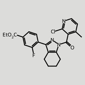 CCOC(=O)c1ccc(-c2nn(C(=O)c3c(C)ccnc3Cl)c3c2CCCC3)c(F)c1